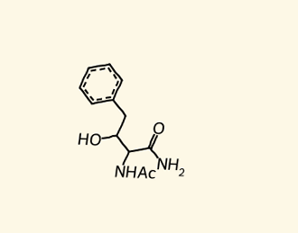 CC(=O)NC(C(N)=O)C(O)Cc1ccccc1